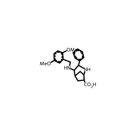 COc1ccc(OC)c(CNC2C3CC(NC2c2ccccc2)C(C(=O)O)C3)c1